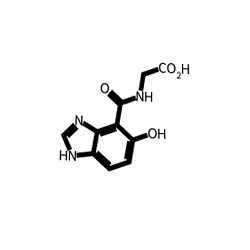 O=C(O)CNC(=O)c1c(O)ccc2[nH]cnc12